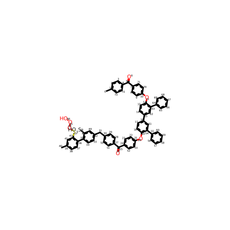 Cc1ccc(C(=O)c2ccc(Oc3ccc(-c4ccc(Oc5ccc(C(=O)c6ccc(Cc7ccc(-c8ccc(C)cc8SOOO)c(S(=O)(=O)O)c7)cc6)cc5)c(-c5ccccc5)c4)cc3-c3ccccc3)cc2)cc1